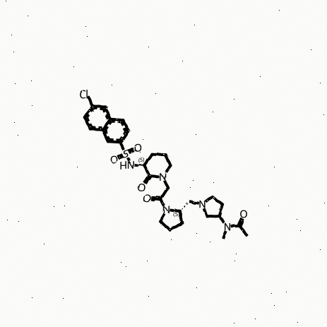 CC(=O)N(C)C1CCN(C[C@@H]2CCCN2C(=O)CN2CCC[C@H](NS(=O)(=O)c3ccc4cc(Cl)ccc4c3)C2=O)C1